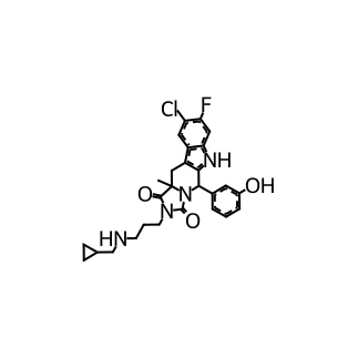 CC12Cc3c([nH]c4cc(F)c(Cl)cc34)C(c3cccc(O)c3)N1C(=O)N(CCCNCC1CC1)C2=O